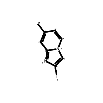 Cc1ccn2cc(I)nc2c1